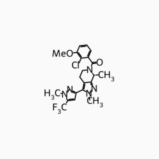 COc1cccc(C(=O)N2CCc3c(nn(C)c3-c3cc(C(F)(F)F)n(C)n3)[C@@H]2C)c1Cl